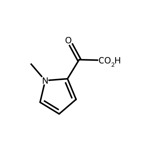 Cn1cccc1C(=O)C(=O)O